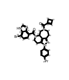 CC(C)c1ccc(-n2nc3c4c2CCN(C(=O)c2ccc(Br)c5[nH]cnc25)C4CN(C(=O)C2=CCC2)CC3)cc1